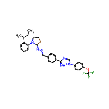 CCC(C)c1ccccc1N1CCS/C1=N\N=C\c1ccc(C(=N)/N=C\Nc2ccc(OC(F)(F)F)cc2)cc1